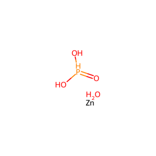 O.O=[PH](O)O.[Zn]